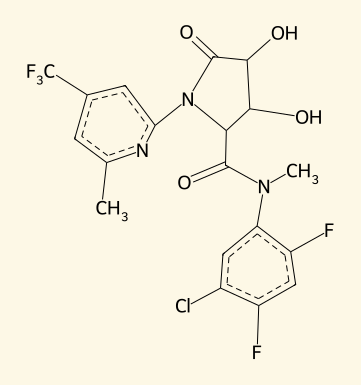 Cc1cc(C(F)(F)F)cc(N2C(=O)C(O)C(O)C2C(=O)N(C)c2cc(Cl)c(F)cc2F)n1